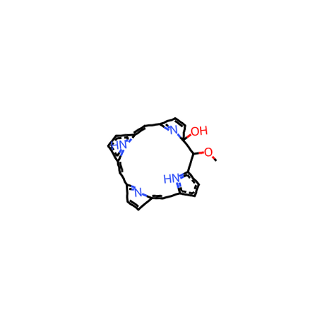 COC1c2ccc([nH]2)C=C2C=CC(=N2)C=c2ccc([nH]2)=CC2=NC1(O)C=C2